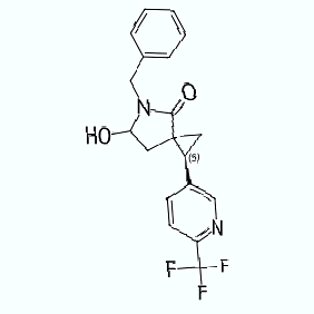 O=C1N(Cc2ccccc2)C(O)CC12C[C@H]2c1ccc(C(F)(F)F)nc1